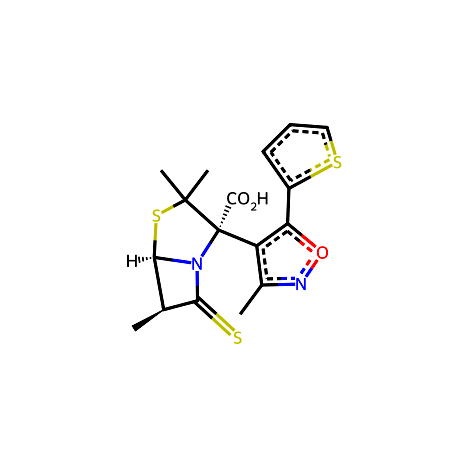 Cc1noc(-c2cccs2)c1[C@@]1(C(=O)O)N2C(=S)[C@@H](C)[C@H]2SC1(C)C